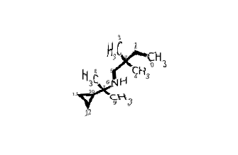 CCC(C)(C)CNC(C)(C)C1CC1